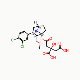 COC[C@@H]1[C@@H](c2ccc(Cl)c(Cl)c2)C[C@@H]2CC[C@]1(OC(=O)CC(O)(CC(=O)O)C(=O)O)N2